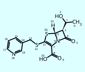 CC(O)[C@H]1C(=O)N2C(C(=O)O)=C(SCc3cccnc3)S[C@H]12